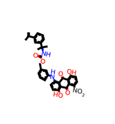 C=C(C)c1cccc(C(C)(C)NC(=O)OCc2cccc(Nc3ccc(O)c4c3C(=O)c3c(O)ccc([N+](=O)[O-])c3C4=O)c2)c1